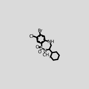 CN1C(C2CCCCC2)CNc2cc(Br)c(Cl)cc2S1(=O)=O